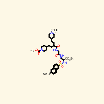 CCOC(=O)[C@H](CNC(=O)CNC(=O)C(CCC1CCN(C(=O)O)CC1)CCC1CCN(C(=O)OC(C)(C)C)CC1)NS(=O)(=O)c1ccc2cc(OC)ccc2c1